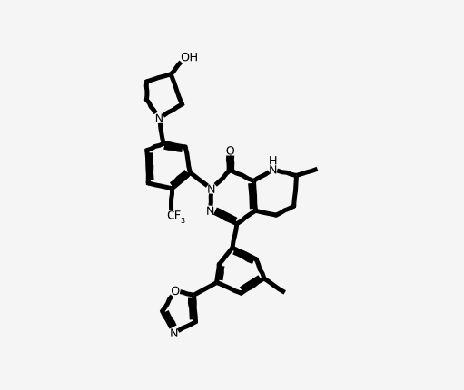 Cc1cc(-c2cnco2)cc(-c2nn(-c3cc(N4CCC(O)C4)ccc3C(F)(F)F)c(=O)c3c2CCC(C)N3)c1